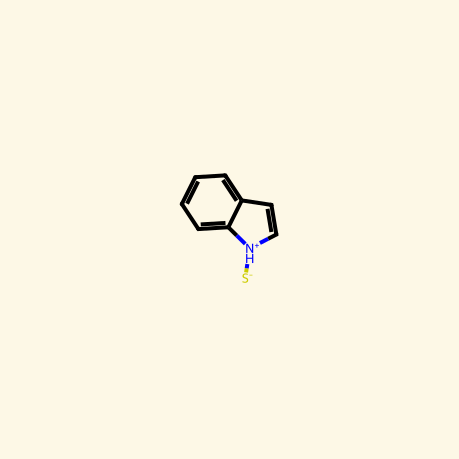 [S-][NH+]1C=Cc2ccccc21